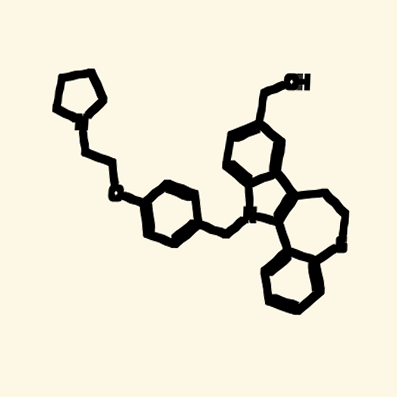 OCc1ccc2c(c1)c1c(n2Cc2ccc(OCCN3CCCC3)cc2)-c2ccccc2SCC1